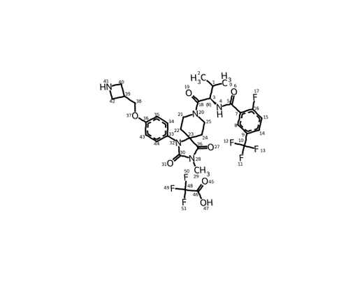 CC(C)[C@@H](NC(=O)c1cc(C(F)(F)F)ccc1F)C(=O)N1CCC2(CC1)C(=O)N(C)C(=O)N2c1ccc(OCC2CNC2)cc1.O=C(O)C(F)(F)F